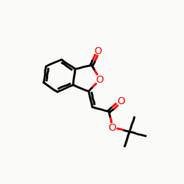 CC(C)(C)OC(=O)C=C1OC(=O)c2ccccc21